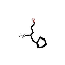 CC(CCCBr)Cc1[c]cccc1